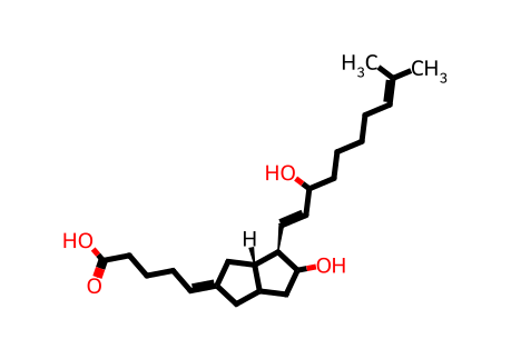 CC(C)=CCCCCC(O)C=C[C@H]1C(O)CC2CC(=CCCCC(=O)O)C[C@@H]21